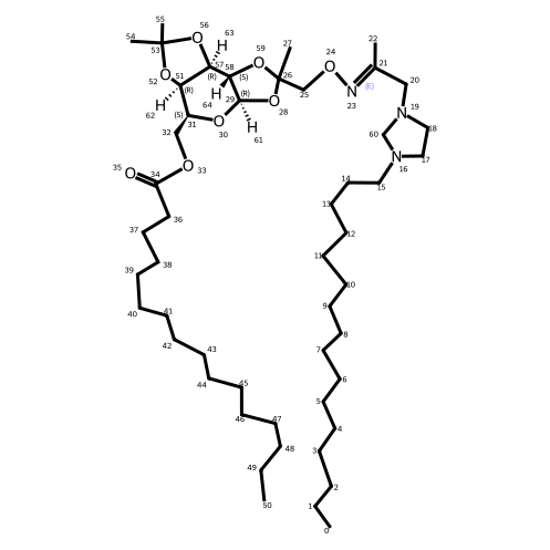 CCCCCCCCCCCCCCCCN1CCN(C/C(C)=N/OCC2(C)O[C@H]3O[C@@H](COC(=O)CCCCCCCCCCCCCCC)[C@H]4OC(C)(C)O[C@H]4[C@@H]3O2)C1